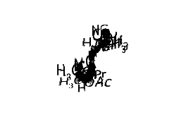 CC(=O)O[C@@H]1C[C@@H](C(=O)N[C@@H](C)c2ccc(-c3scnc3C)cc2)N(C(=O)[C@H](C(C)C)N2Cc3ccc(OCCN4CCN(c5ccc(C(=O)N[C@H]6C(C)(C)[C@H](Oc7ccc(C#N)c(Cl)c7)C6(C)C)cn5)CC4)cc3C2=O)C1